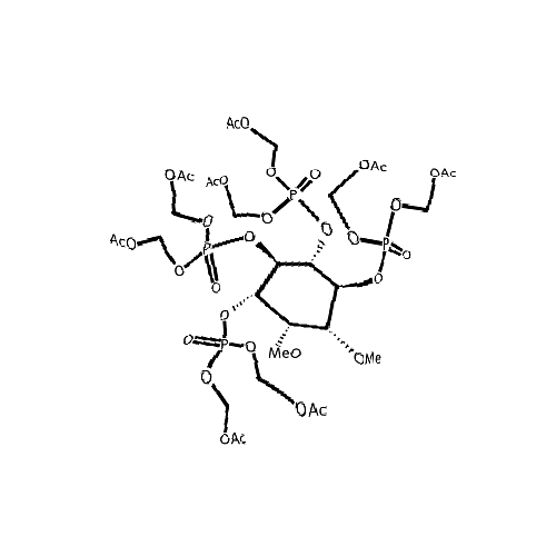 CO[C@@H]1[C@H](OC)[C@H](OP(=O)(OCOC(C)=O)OCOC(C)=O)[C@@H](OP(=O)(OCOC(C)=O)OCOC(C)=O)[C@H](OP(=O)(OCOC(C)=O)OCOC(C)=O)[C@H]1OP(=O)(OCOC(C)=O)OCOC(C)=O